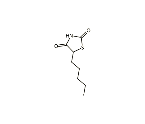 CCCCCC1SC(=O)NC1=O